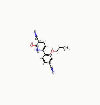 CCCOc1cc(C#N)ccc1-c1ccc(C#N)c(=O)[nH]1